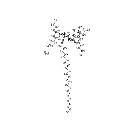 CCCCCCCCCCCCCCCCCCCCCCCCCC#CC(=N\c1cc(CCCC)cc(CCCC)c1)/C(CCCCC)=N/c1cc(CCCC)cc(CCCC)c1.[Ni]